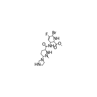 COC(=O)C1NC(Br)C(F)=CC1NC(=O)C1CCC(N2CCNC2)N(C)N1